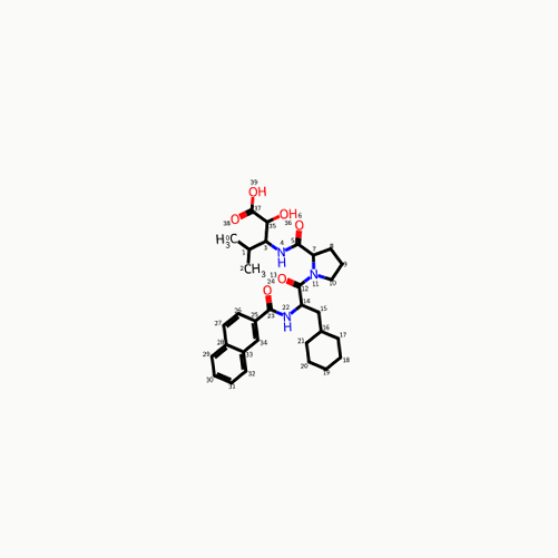 CC(C)C(NC(=O)C1CCCN1C(=O)C(CC1CCCCC1)NC(=O)c1ccc2ccccc2c1)C(O)C(=O)O